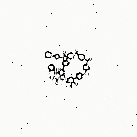 CC(C)n1cnc2cc(-c3ccc4c(c3)N(C3CC(N5CCCCC5)C3)C(=O)C43CCN(C(=O)C4CCC(C(=O)N5CCC(Nc6ccc(C7CCC(=O)NC7=O)cn6)CC5)CC4)CC3)nc(Nc3ccccc3F)c21